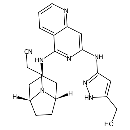 N#CCCN1[C@@H]2CC[C@H]1C[C@H](Nc1nc(Nc3cc(CO)[nH]n3)cc3ncccc13)C2